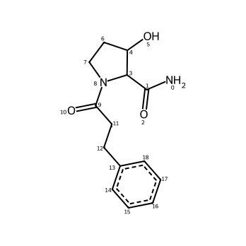 NC(=O)C1C(O)CCN1C(=O)[CH]Cc1ccccc1